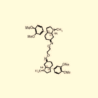 COc1ccc([C@@]23CCC(=NOCCO/N=C4\CC[C@@]5(c6ccc(OC)c(OC)c6)CCN(C)[C@H]5C4)C[C@@H]2N(C)CC3)cc1OC